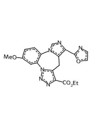 CCOC(=O)c1nnn2c1Cc1c(-c3ncco3)ncn1-c1ccc(OC)cc1-2